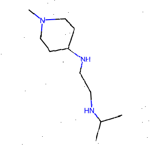 CC(C)NCCNC1CCN(C)CC1